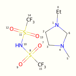 CCN1CCN(C)C1.O=S(=O)(NS(=O)(=O)C(F)(F)F)C(F)(F)F